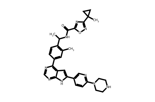 Cc1cc(-c2ncnc3[nH]c(-c4ccc(N5CCNCC5)nc4)cc23)ccc1C(C)NC(=O)c1nc(C2(C)CC2)no1